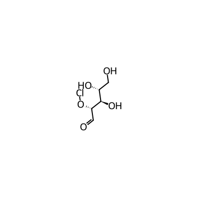 O=C[C@H](OCl)[C@H](O)[C@H](O)CO